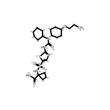 CCCO[C@H]1CC[C@H](N(C(=O)Nc2ncc(S(=O)(=O)NC3(C(=O)O)CCC3)s2)C2CCCCC2)CC1